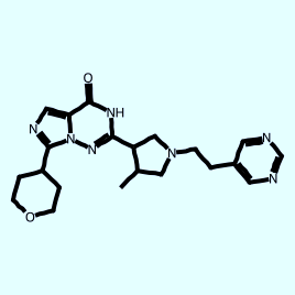 CC1CN(CCc2cncnc2)CC1c1nn2c(C3CCOCC3)ncc2c(=O)[nH]1